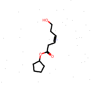 O=C(C/C=C\CCO)OC1CCCC1